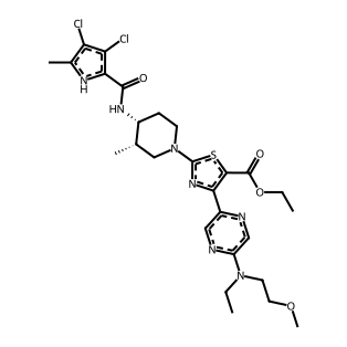 CCOC(=O)c1sc(N2CC[C@@H](NC(=O)c3[nH]c(C)c(Cl)c3Cl)[C@@H](C)C2)nc1-c1cnc(N(CC)CCOC)cn1